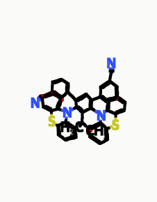 CC(C)c1c(N2c3ccccc3Sc3ccccc32)c(-c2cccc(C#N)c2)cc(-c2cccc(C#N)c2)c1N1c2ccccc2Sc2ccccc21